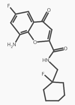 Nc1cc(F)cc2c(=O)cc(C(=O)NCC3(F)CCCCC3)oc12